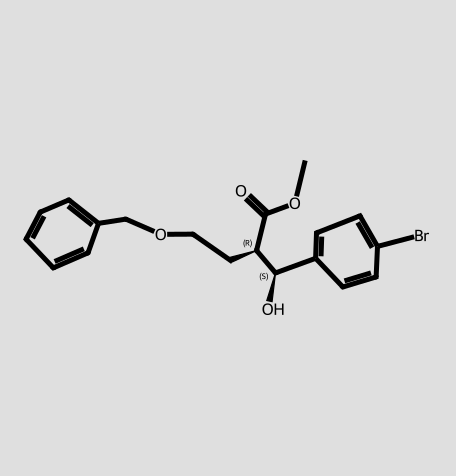 COC(=O)[C@H](CCOCc1ccccc1)[C@H](O)c1ccc(Br)cc1